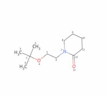 CC(C)(C)OCCN1CCCCC1=O